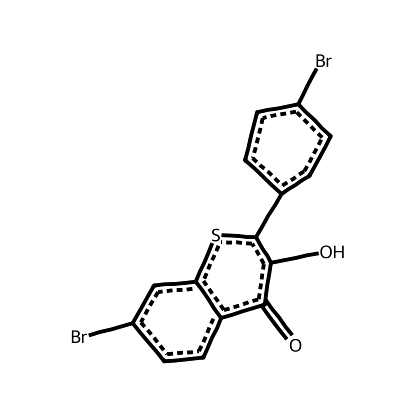 O=c1c(O)c(-c2ccc(Br)cc2)sc2cc(Br)ccc12